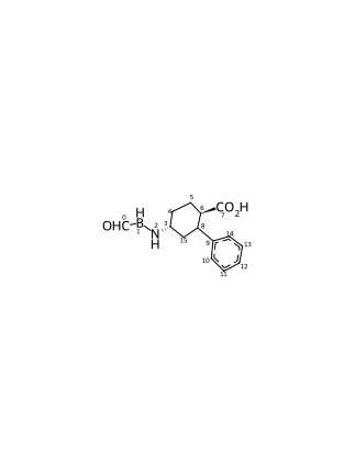 O=CBN[C@@H]1CC[C@@H](C(=O)O)C(c2ccccc2)C1